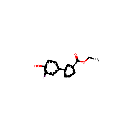 CCOC(=O)c1cccc(-c2ccc(O)c(I)c2)c1